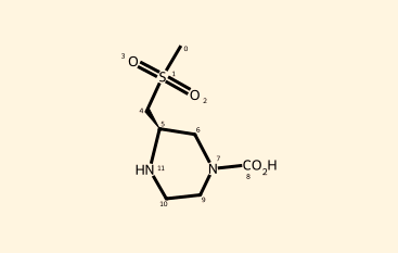 CS(=O)(=O)C[C@H]1CN(C(=O)O)CCN1